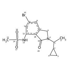 CC(C1CC1)N1Cc2cc(Br)cc(NS(C)(=O)=O)c2C1=O